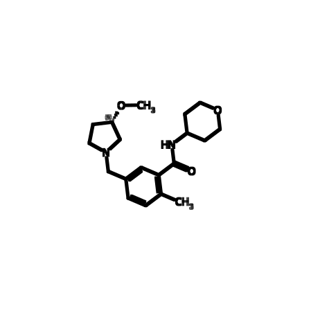 CO[C@H]1CCN(Cc2ccc(C)c(C(=O)NC3CCOCC3)c2)C1